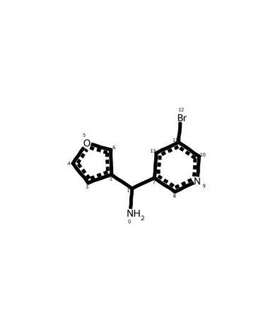 NC(c1ccoc1)c1cncc(Br)c1